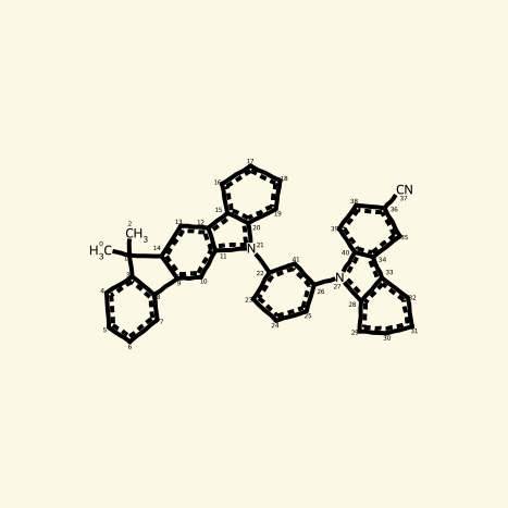 CC1(C)c2ccccc2-c2cc3c(cc21)c1ccccc1n3-c1cccc(-n2c3ccccc3c3cc(C#N)ccc32)c1